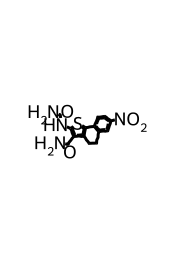 NC(=O)Nc1sc2c(c1C(N)=O)CCc1cc([N+](=O)[O-])ccc1-2